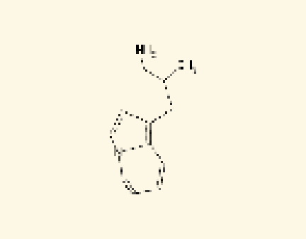 CC(CN)Cc1ccn2ccccc12